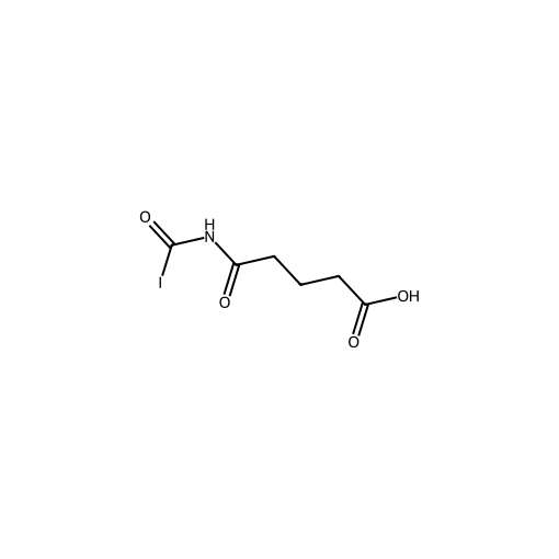 O=C(O)CCCC(=O)NC(=O)I